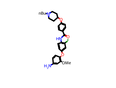 CCCCN1CCC(Oc2ccc(C(=O)Nc3ccc(Oc4ccc(N)cc4OC)cc3F)cc2)CC1